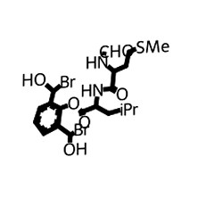 CSCCC(NC=O)C(=O)NC(CC(C)C)C(=O)Oc1c(C(O)Br)cccc1C(O)Br